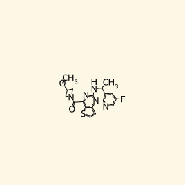 COC1CN(C(=O)c2nc(N[C@@H](C)c3cncc(F)c3)nc3ccsc23)C1